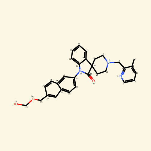 Cc1cccnc1CN1CCC2(CC1)C(=O)N(c1ccc3cc(COCO)ccc3c1)c1ccccc12